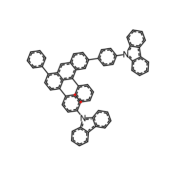 c1ccc(-c2ccc(-c3ccc(-n4c5ccccc5c5ccccc54)cc3)c3c(-c4ccccc4)c4cc(-c5ccc(-n6c7ccccc7c7ccccc76)cc5)ccc4cc23)cc1